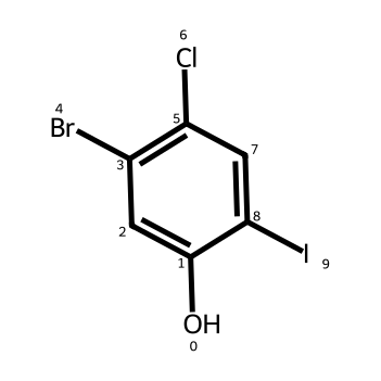 Oc1cc(Br)c(Cl)cc1I